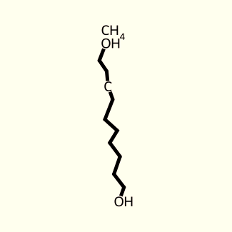 C.OCCCCCCCCCCO